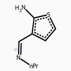 CCC/N=C\c1ccsc1N